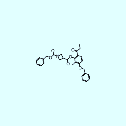 CCC(=O)c1ccc(OCc2ccccc2)c(C)c1OC(=O)C1CN(C(=O)OCc2ccccc2)C1